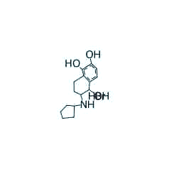 Br.Oc1ccc2c(c1O)CCC(NC1CCCC1)C2O